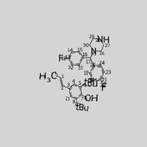 CC=Cc1cc(C(C)(C)C)c(O)c(C(C)(C)C)c1.Fc1ccc(C(c2ccc(F)cc2)N2CCNCC2)cc1